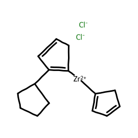 C1=CC[C]([Zr+2][C]2=C(C3CCCC3)C=CC2)=C1.[Cl-].[Cl-]